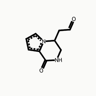 O=CCC1CNC(=O)c2cccn21